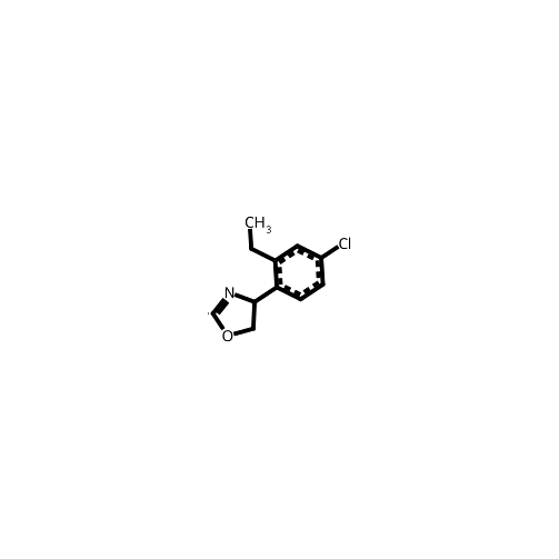 CCc1cc(Cl)ccc1C1CO[C]=N1